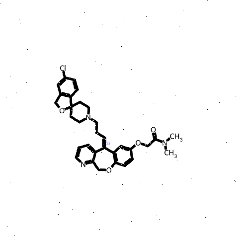 CN(C)C(=O)COc1ccc2c(c1)/C(=C/CCN1CCC3(CC1)OCc1cc(Cl)ccc13)c1cccnc1CO2